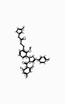 COc1c(CCC(=O)CC2=CC(C)=CC2)cccc1C1CC(c2ccc(F)cc2)=CC1C(=O)c1c(F)cc(F)cc1F